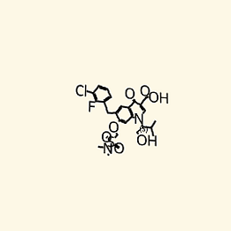 CC(C)[C@@H](CO)n1cc(C(=O)O)c(=O)c2cc(Cc3cccc(Cl)c3F)c(OCS(=O)(=O)N(C)C)cc21